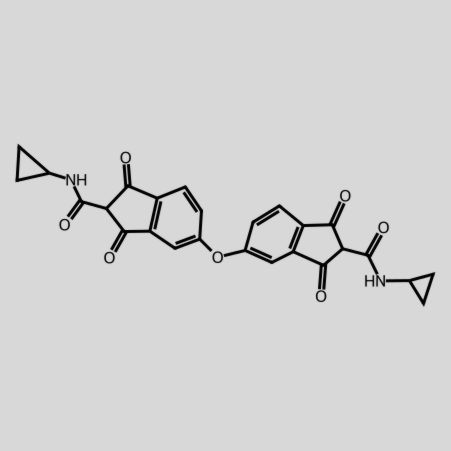 O=C(NC1CC1)C1C(=O)c2ccc(Oc3ccc4c(c3)C(=O)C(C(=O)NC3CC3)C4=O)cc2C1=O